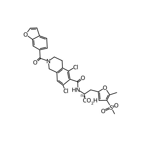 Cc1oc(C[C@H](NC(=O)c2c(Cl)cc3c(c2Cl)CCN(C(=O)c2ccc4ccoc4c2)C3)C(=O)O)cc1S(C)(=O)=O